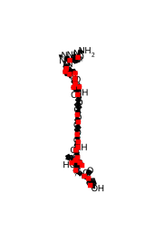 CO[C@@H](/C(=N/OCC(=O)NCCOCCOCCOCCOCCOCCOCCC(=O)NC1CCN(CC(=O)N2CCc3cc(Cn4nc(-c5ccc6oc(N)nc6c5)c5c(N)ncnc54)ccc3C2)CC1)[C@H](C)CC(C)C)[C@H](O)/C(C)=C/[C@@H](C)CC[C@@H](CC[C@H]1CC[C@H](O)CC1)OC=O